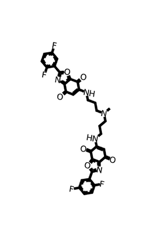 CN(CCCNC1=CC(=O)c2nc(-c3cc(F)ccc3F)oc2C1=O)CCCNC1=CC(=O)c2nc(-c3cc(F)ccc3F)oc2C1=O